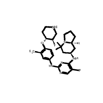 CC1(C)C[C@H](Nc2nc(Nc3ccc(O[C@@H]4CCNC[C@H]4F)c(C(F)(F)F)c3)ncc2F)C[C@@H]2CCCN21